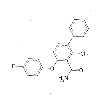 NC(=O)c1c(Oc2ccc(F)cc2)ccc(-c2ccccc2)c1Cl